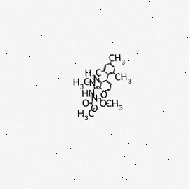 COC(=O)N(Nc1c2cccc(-c3c(C)cc(C)cc3C)c2nn1C)C(=O)OC